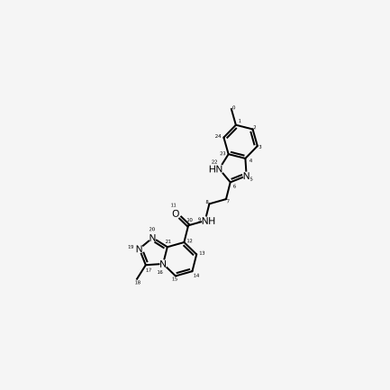 Cc1ccc2nc(CCNC(=O)c3cccn4c(C)nnc34)[nH]c2c1